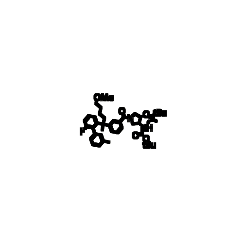 COCCCCC(C)(c1cccc(C(=O)N2C[C@H](O[Si](C)(C)C(C)(C)C)[C@H](NC(=O)OC(C)(C)C)C2)c1)c1cccc(F)c1-c1cccc(C)c1